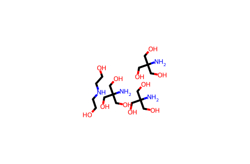 NC(CO)(CO)CO.NC(CO)(CO)CO.NC(CO)(CO)CO.OCCNCCO